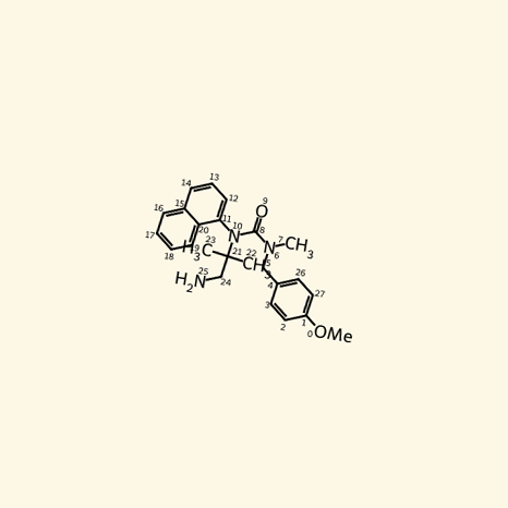 COc1ccc(CN(C)C(=O)N(c2cccc3ccccc23)C(C)(C)CN)cc1